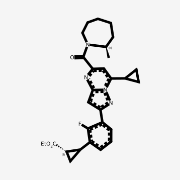 CCOC(=O)[C@H]1CC1c1cccc(-c2cc3nc(C(=O)N4CCCCC[C@H]4C)cc(C4CC4)n3n2)c1F